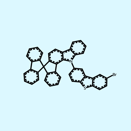 Brc1ccc2sc3ccc(-n4c5ccccc5c5ccc6c(c54)-c4ccccc4C64c5ccccc5-c5ccccc54)cc3c2c1